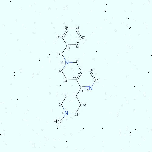 CN1CCC(c2nccc3c2CCN(Cc2ccccc2)C3)CC1